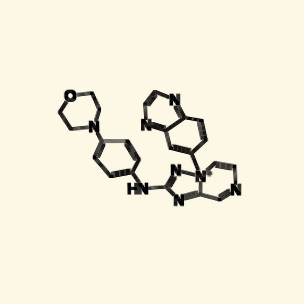 C1=C[N+]2(c3ccc4nccnc4c3)N=C(Nc3ccc(N4CCOCC4)cc3)N=C2C=N1